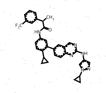 CC(C(=O)Nc1ccc(C2CC2)c(-c2ccc3nc(Nc4cnn(C5CC5)c4)ncc3c2)c1)c1cccc(C(F)(F)F)c1